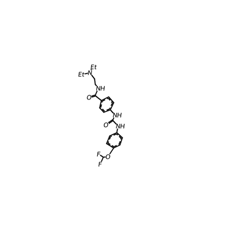 CCN(CC)CCNC(=O)c1ccc(NC(=O)Nc2ccc(OC(F)F)cc2)cc1